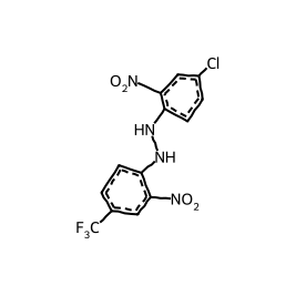 O=[N+]([O-])c1cc(Cl)ccc1NNc1ccc(C(F)(F)F)cc1[N+](=O)[O-]